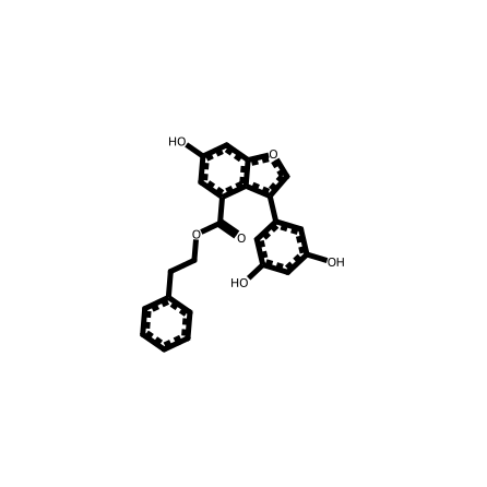 O=C(OCCc1ccccc1)c1cc(O)cc2occ(-c3cc(O)cc(O)c3)c12